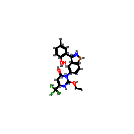 CCOc1nc(C(F)(F)F)cc(=O)n1-c1ccc2snc(-c3cc(C)ccc3O)c2c1